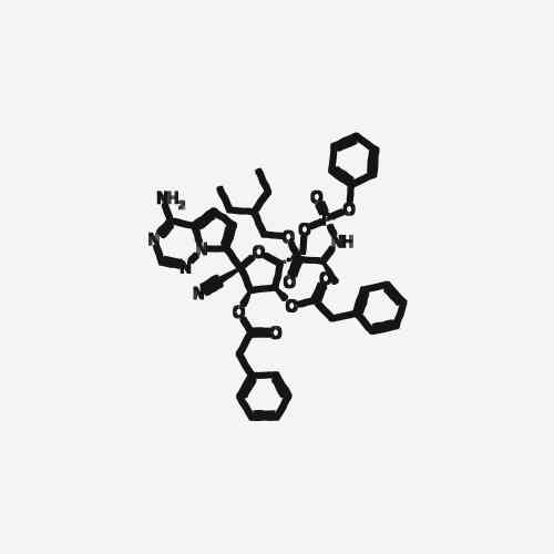 CCC(CC)COC(=O)[C@H](C)NP(=O)(OC[C@H]1O[C@@](C#N)(c2ccc3c(N)ncnn23)[C@H](OC(=O)Cc2ccccc2)[C@@H]1OC(=O)Cc1ccccc1)Oc1ccccc1